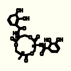 C[C@H]1COC(=O)[C@@H](NC(=O)C2=C(O)C(O)CC=C2)COC(=O)[C@@H](NC(=O)C2C=CC=C(O)C2O)COC1=O